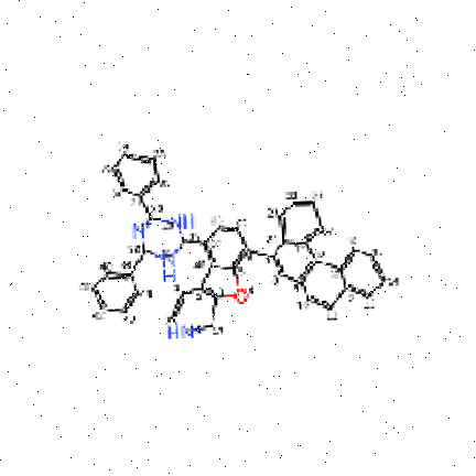 C1=Cc2c(oc3c(-c4cc5ccc6ccccc6c5c5ccccc45)ccc(C4NC(c5ccccc5)=NC(c5ccccc5)N4)c23)CN1